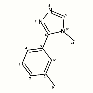 Cc1cccc(-c2nncn2C)c1